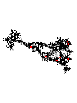 CC(=O)C[C@@H]1[C@@H](NC(C)=O)[C@H](OCCOCCn2cc(CN(Cc3cn(CCOCCO[C@@H]4O[C@H](COC(C)=O)[C@H](OC(C)=O)[C@H](OC(C)=O)[C@H]4NC(C)=O)nn3)[C@@H](CCCCN(Cc3cn(CCOCCC[C@@H]4O[C@H](COC(C)=O)[C@H](OC(C)=O)[C@H](OC(C)=O)[C@H]4NC(C)=O)nn3)Cc3cn(CCOCCO[C@@H]4O[C@H](COC(C)=O)[C@H](OC(C)=O)[C@H](OC(C)=O)[C@H]4NC(C)=O)nn3)C(=O)O)nn2)O[C@H](COC(C)=O)[C@@H]1OC(C)=O